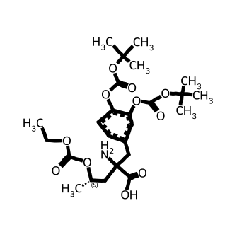 CCOC(=O)O[C@@H](C)CC(N)(Cc1ccc(OC(=O)OC(C)(C)C)c(OC(=O)OC(C)(C)C)c1)C(=O)O